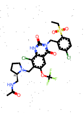 CCS(=O)(=O)c1ccc(Cl)cc1Cn1c(=O)[nH]c2c(Cl)c(CN3CCC[C@@H]3CNC(C)=O)c(OC(F)(F)F)cc2c1=O